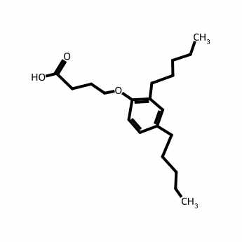 CCCCCc1ccc(OCCCC(=O)O)c(CCCCC)c1